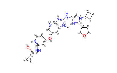 Cn1c(Nc2cn(C3CCC3)c([C@@H]3CCOC3)n2)nc2ncc(Oc3ccnc(NC(=O)C4CC4)c3)cc21